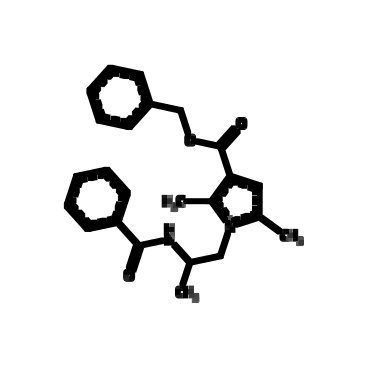 Cc1cc(C(=O)OCc2ccccc2)c(C)n1CC(C)NC(=O)c1ccccc1